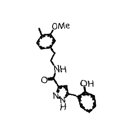 COc1cc(CCNC(=O)c2cc(-c3ccccc3O)[nH]n2)ccc1C